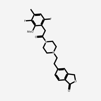 COc1c(F)c(C)cc(F)c1CC(=O)N1CCN(CCc2ccc3c(c2)COC3=O)CC1